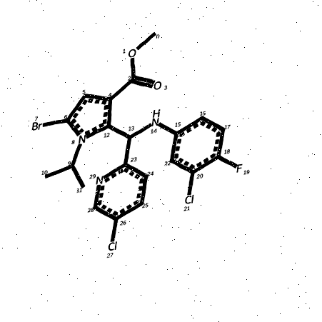 COC(=O)c1cc(Br)n(C(C)C)c1C(Nc1ccc(F)c(Cl)c1)c1ccc(Cl)cn1